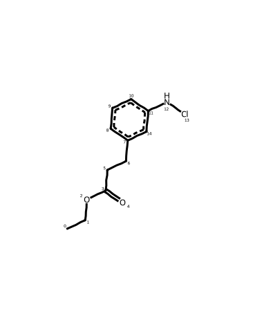 CCOC(=O)CCc1cccc(NCl)c1